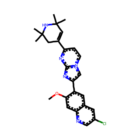 COc1cc2ncc(Cl)cc2cc1-c1cn2ccc(C3=CC(C)(C)NC(C)(C)C3)nc2n1